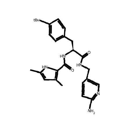 Cc1cc(C)c(C(=O)N[C@@H](Cc2ccc(C(C)(C)C)cc2)C(=O)NCc2ccc(N)nc2)[nH]1